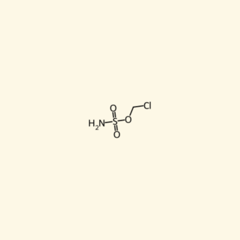 NS(=O)(=O)OCCl